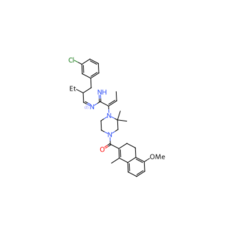 CC=C(C(=N)/N=C\C(CC)Cc1cccc(Cl)c1)N1CCN(C(=O)C2=C(C)c3cccc(OC)c3CC2)CC1(C)C